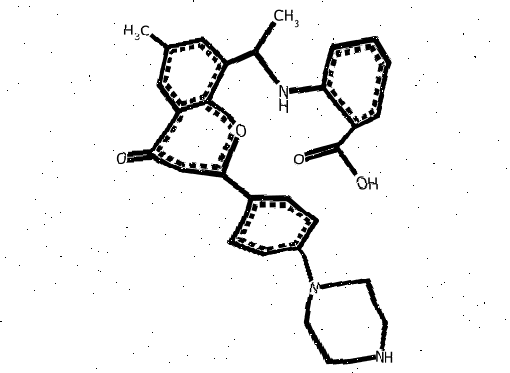 Cc1cc(C(C)Nc2ccccc2C(=O)O)c2oc(-c3ccc(N4CCNCC4)cc3)cc(=O)c2c1